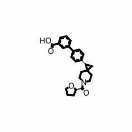 O=C(O)c1cccc(-c2ccc([C@@H]3CC34CCN(C(=O)[C@H]3CCCO3)CC4)cc2)c1